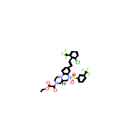 CCOC(=O)C(=O)N1CCN2c3ccc(/C=C/c4c(Cl)cccc4C(F)(F)F)cc3N(S(=O)(=O)c3cccc(C(F)(F)F)c3)C[C@@H]2C1